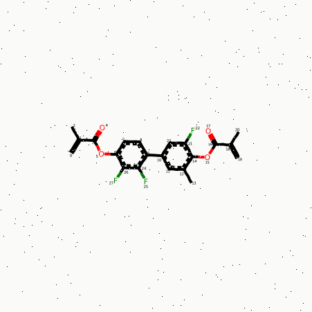 C=C(C)C(=O)Oc1ccc(-c2cc(C)c(OC(=O)C(=C)C)c(F)c2)c(F)c1F